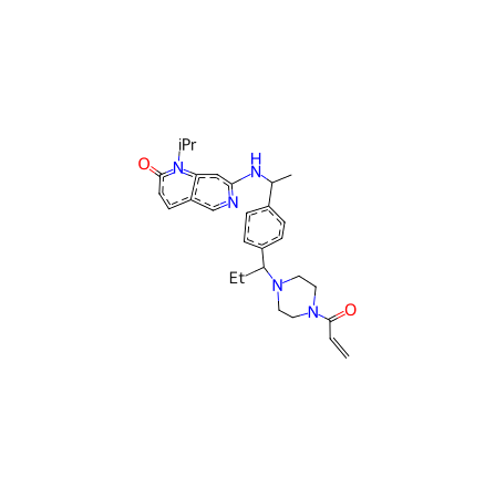 C=CC(=O)N1CCN(C(CC)c2ccc(C(C)Nc3cc4c(ccc(=O)n4C(C)C)cn3)cc2)CC1